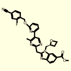 COC(=O)c1ccc2nc(Cc3ncc(-c4cccc(OCc5ccc(C#N)cc5F)n4)c(C)n3)n(C[C@@H]3CCO3)c2c1